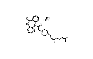 CC(C)=CCC/C(C)=C\CN1CCN(CC(=O)N2c3ccccc3C(=O)Nc3cccnc32)CC1.Cl.Cl